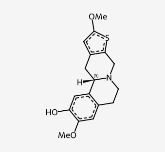 COc1cc2c(s1)CN1CCc3cc(OC)c(O)cc3[C@@H]1C2